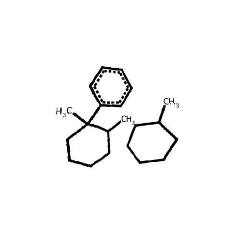 CC1CCCCC1.CC1CCCCC1(C)c1ccccc1